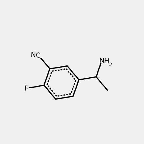 CC(N)c1ccc(F)c(C#N)c1